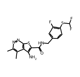 Cc1nnc2sc(C(=O)NCc3ccc(SC(F)F)c(F)c3)c(N)c2c1C